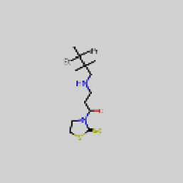 CCC(C)(C(C)C)C(C)(C)CNCCC(=O)N1CCSC1=S